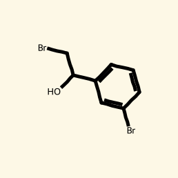 OC(CBr)c1cccc(Br)c1